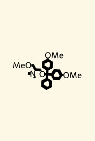 COCC(COC(c1ccccc1)(c1ccc(OC)cc1)c1ccc(OC)cc1)N(C)C